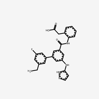 NCc1cc(F)cc(-c2cc(Nc3ccn[nH]3)cc(C(=O)Nc3ccccc3CC(=O)O)c2)c1